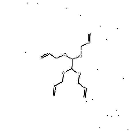 C=CCOC(OCC=C)C(OCC=C)OCC=C